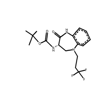 CC(C)(C)OC(=O)N[C@H]1CN(CCC(F)(F)F)c2ccccc2NC1=O